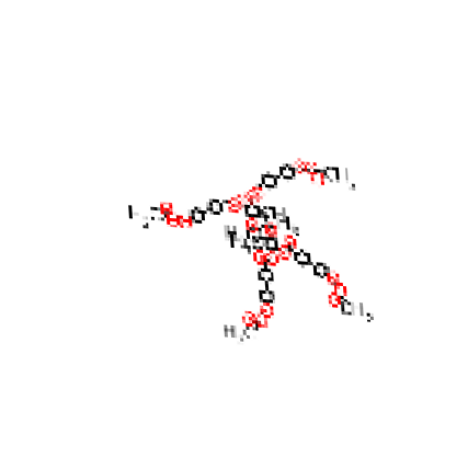 C=CC(=O)OCOc1ccc(-c2ccc(COOc3cc4c(cc3OOCc3ccc(-c5ccc(OCOC(=O)C=C)cc5)cc3)C(C)(C)C3Oc5cc(OC(=O)c6ccc(-c7ccc(OCOC(=O)C=C)cc7)cc6)c(OC(=O)c6ccc(-c7ccc(OCOC(=O)C=C)cc7)cc6)cc5C(C)(C)C3O4)cc2)cc1